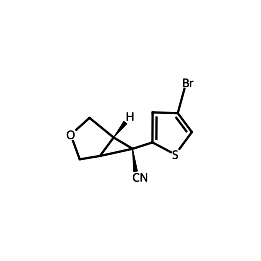 N#C[C@@]1(c2cc(Br)cs2)C2COC[C@@H]21